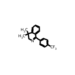 CC1(C)CN=C(c2ccc(C(F)(F)F)cc2)c2ccccc21